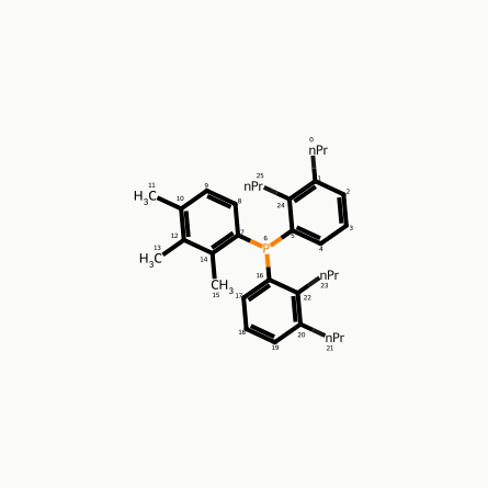 CCCc1cccc(P(c2ccc(C)c(C)c2C)c2cccc(CCC)c2CCC)c1CCC